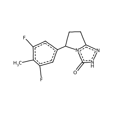 Cc1c(F)cc(C2CCc3n[nH]c(=O)n32)cc1F